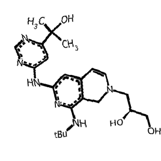 CC(C)(C)Nc1nc(Nc2cc(C(C)(C)O)ncn2)cc2c1CN(C[C@H](O)CO)C=C2